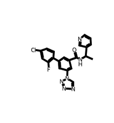 CC(NC(=O)c1cc(-c2ccc(Cl)cc2F)cc(-n2cnnn2)c1)c1cccnc1